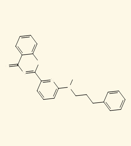 O=c1nc(-c2cccc([S+]([O-])CCCc3ccccc3)n2)sc2ccccc12